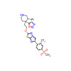 CC(C)C1CNCCC1(CCOc1nn2cc(-c3ccc(S(C)(=O)=O)cc3C(F)(F)F)nc2s1)c1cnno1